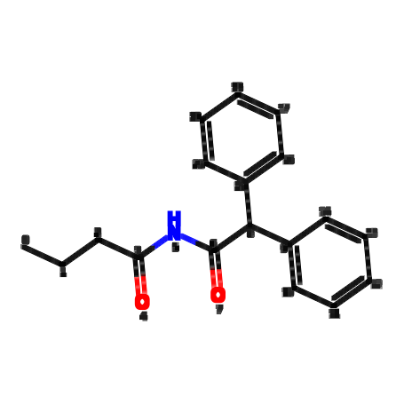 CCCC(=O)NC(=O)C(c1ccccc1)c1ccccc1